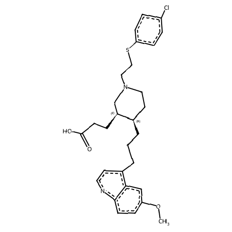 COc1ccc2nccc(CCC[C@@H]3CCN(CCSc4ccc(Cl)cc4)C[C@@H]3CCC(=O)O)c2c1